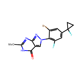 COc1nc2nn(-c3c(F)cc(C4(F)CC4)cc3Br)cc2c(=O)[nH]1